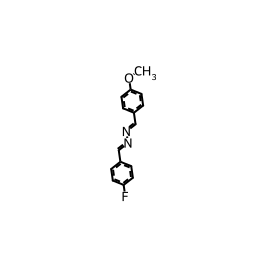 COc1ccc(C=NN=Cc2ccc(F)cc2)cc1